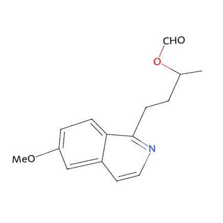 COc1ccc2c(CCC(C)OC=O)nccc2c1